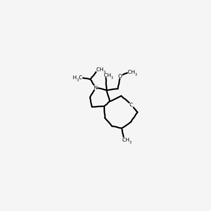 COCC1(C)C2CCCCC(C)CCC2CCN1C(C)C